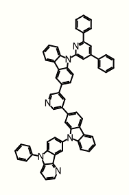 c1ccc(-c2cc(-c3ccccc3)nc(-n3c4ccccc4c4cc(-c5cncc(-c6ccc7c8ccccc8n(-c8ccc9c(c8)c8ncccc8n9-c8ccccc8)c7c6)c5)ccc43)c2)cc1